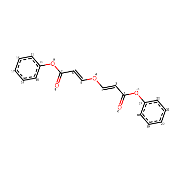 O=C(C=COC=CC(=O)Oc1ccccc1)Oc1ccccc1